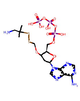 CC(C)(CN)SSCOC1C[C@H](n2cnc3c(N)ncnc32)O[C@@H]1COP(=O)(O)OP(=O)(O)OP(=O)(O)O